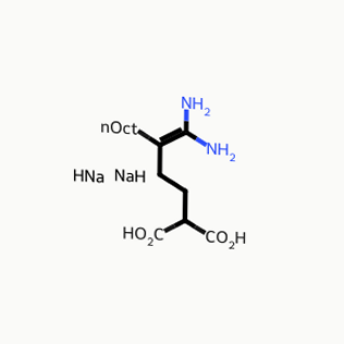 CCCCCCCCC(CCC(C(=O)O)C(=O)O)=C(N)N.[NaH].[NaH]